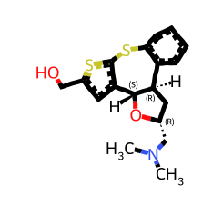 CN(C)C[C@H]1C[C@@H]2c3ccccc3Sc3sc(CO)cc3[C@H]2O1